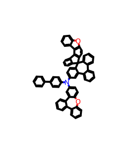 c1ccc(-c2ccc(N(c3ccc4c(c3)-c3ccccc3-c3ccccc3O4)c3ccc4c(c3)-c3ccccc3-c3ccccc3C43c4ccccc4-c4c3ccc3oc5ccccc5c43)cc2)cc1